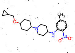 Cc1ccc([N+](=O)[O-])c(NC2CCN(C3CCC(OCC4CC4)CC3)CC2)c1